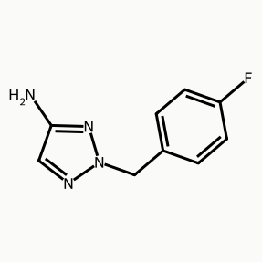 Nc1cnn(Cc2ccc(F)cc2)n1